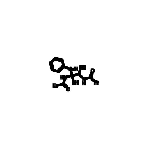 CCC(=O)NC(S)C(S)(NC(=O)CC)[AsH]c1ccccc1